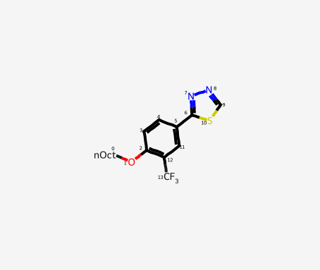 CCCCCCCCOc1ccc(-c2nn[c]s2)cc1C(F)(F)F